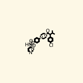 CC(C)C(C(=O)N1CCN(c2ccc(S(=O)(=O)Nc3ccncn3)cc2)CC1)c1ccc(Cl)cc1